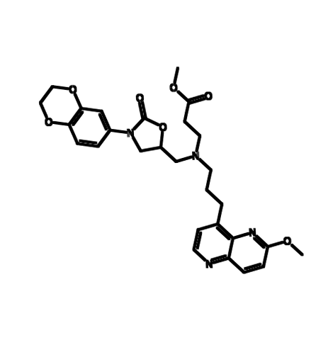 COC(=O)CCN(CCCc1ccnc2ccc(OC)nc12)CC1CN(c2ccc3c(c2)OCCO3)C(=O)O1